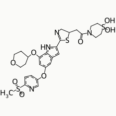 CS(=O)(=O)c1ccc(Oc2cc(OC3CCOCC3)c3[nH]c(C4=NCC(CC(=O)N5CCS(O)(O)CC5)S4)cc3c2)cn1